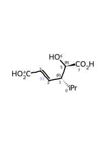 CC(C)[C@H](/C=C/C(=O)O)[C@@H](O)C(=O)O